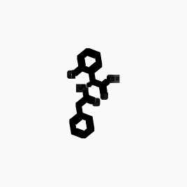 O=C(Cc1ccccc1)N[C@@H](C(=O)O)c1ccccc1Cl